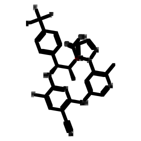 Cc1ncc(Nc2nc(N[C@@H](c3ccc(C(F)(F)F)cc3)[C@H](C)NC(=O)O)c(F)cc2C#N)cc1-n1nccn1